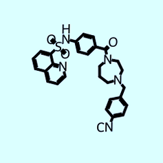 [C-]#[N+]c1ccc(CN2CCCN(C(=O)c3ccc(NS(=O)(=O)c4cccc5cccnc45)cc3)CC2)cc1